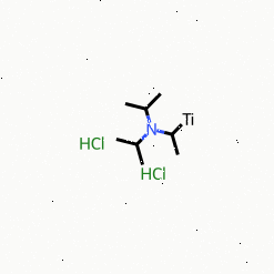 CC(C)N(C(C)C)[CH](C)[Ti].Cl.Cl